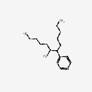 CCCCCC(P)C(CCCCC)c1ccncc1